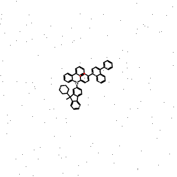 CC1(C2CCCCC2)c2ccccc2-c2ccc(N(c3ccc(-c4ccc(-c5ccccc5)c5ccccc45)cc3)c3ccccc3-c3ccccc3)cc21